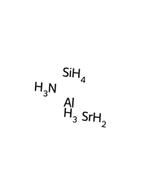 N.[AlH3].[SiH4].[SrH2]